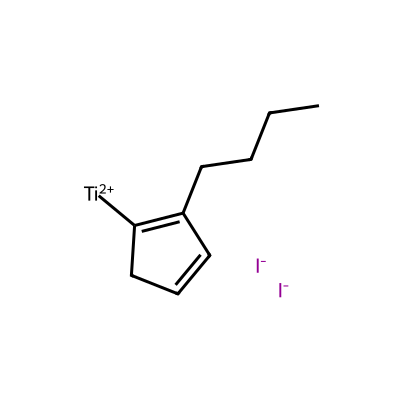 CCCCC1=[C]([Ti+2])CC=C1.[I-].[I-]